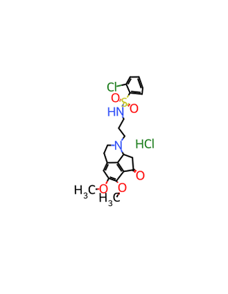 COc1cc2c3c(c1OC)C(=O)CC3N(CCCNS(=O)(=O)c1ccccc1Cl)CC2.Cl